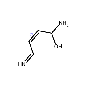 N=C/C=C\C(N)O